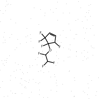 FC(F)C(F)OC1(F)C(F)C=CC1(F)F